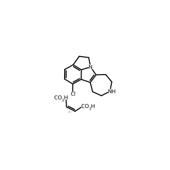 Clc1ccc2c3c1c1c(n3CC2)CCNCC1.O=C(O)/C=C\C(=O)O